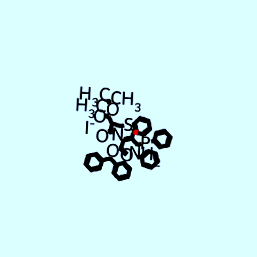 CC(C)(C)OC(=O)C1C(=O)N2C(C(=O)OC(c3ccccc3)c3ccccc3)=C(C(N)[P+](c3ccccc3)(c3ccccc3)c3ccccc3)CSC12.[I-]